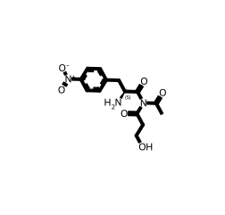 CC(=O)N(C(=O)CCO)C(=O)[C@@H](N)Cc1ccc([N+](=O)[O-])cc1